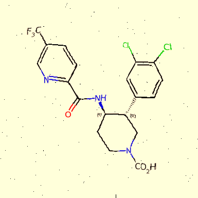 O=C(N[C@@H]1CCN(C(=O)O)C[C@H]1c1ccc(Cl)c(Cl)c1)c1ccc(C(F)(F)F)cn1